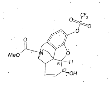 COC(=O)N1CCC23c4c5ccc(OS(=O)(=O)C(F)(F)F)c4O[C@H]2[C@@H](O)C=CC3C1C5